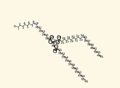 CCCCCCCC/C=C\CCCCCCCC(=O)O[C@@H](COC(=O)CCCCCCCCC/C=C\CCCCCCCCCC)COC(=O)CCCCCCCCCCCCCCCCC